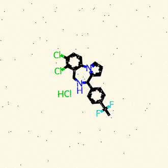 CC(F)(F)c1ccc(C2NCc3c(ccc(Cl)c3Cl)-n3cccc32)cc1.Cl